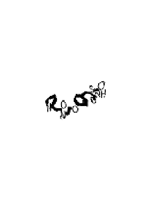 CN(CCOc1ccc(CC2SC(=O)NC2=O)cc1)C(=O)Cc1ccccn1